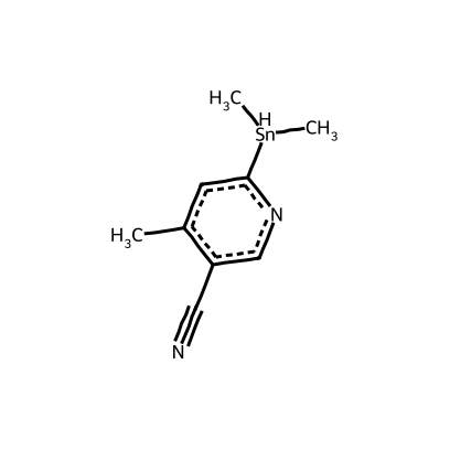 Cc1c[c]([SnH]([CH3])[CH3])ncc1C#N